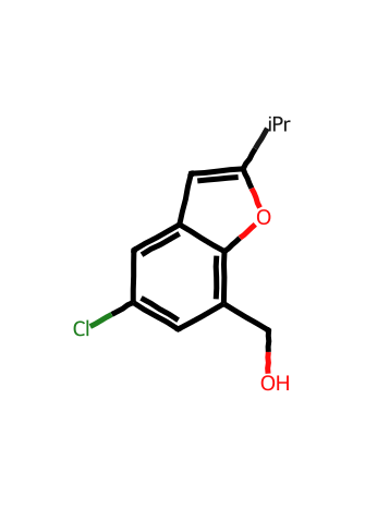 CC(C)c1cc2cc(Cl)cc(CO)c2o1